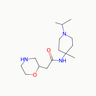 CC(C)N1CCC(C)(NC(=O)CC2CNCCO2)CC1